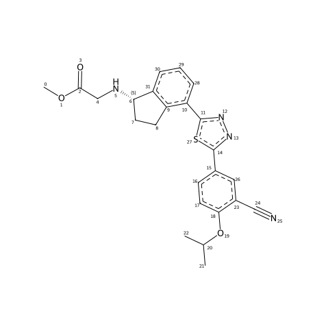 COC(=O)CN[C@H]1CCc2c(-c3nnc(-c4ccc(OC(C)C)c(C#N)c4)s3)cccc21